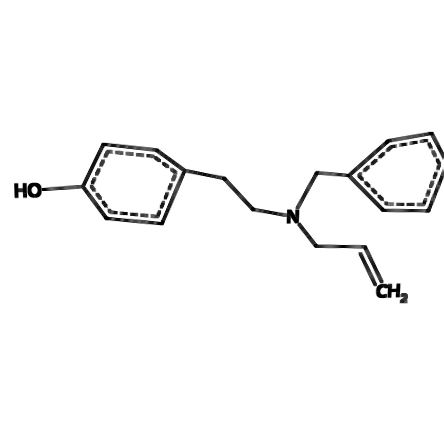 C=CCN(CCc1ccc(O)cc1)Cc1ccccc1